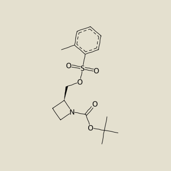 Cc1ccccc1S(=O)(=O)OC[C@@H]1CCN1C(=O)OC(C)(C)C